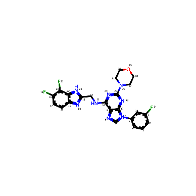 Fc1cccc(-n2cnc3c(NCc4nc5ccc(F)c(F)c5[nH]4)nc(N4CCOCC4)nc32)c1